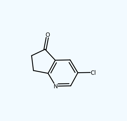 O=C1CCc2ncc(Cl)cc21